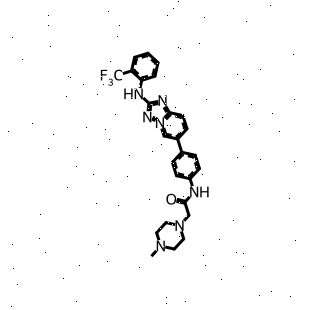 CN1CCN(CC(=O)Nc2ccc(-c3ccc4nc(Nc5ccccc5C(F)(F)F)nn4c3)cc2)CC1